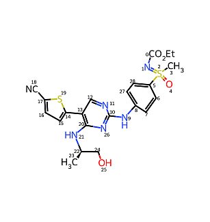 CCOC(=O)N=S(C)(=O)c1ccc(Nc2ncc(-c3ccc(C#N)s3)c(N[C@H](C)CO)n2)cc1